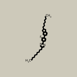 CCCCCCCCCCc1cnc(-c2ccc(-c3ccc4c(c3)CC(CCCCCCCC)C4)c(F)c2)nc1